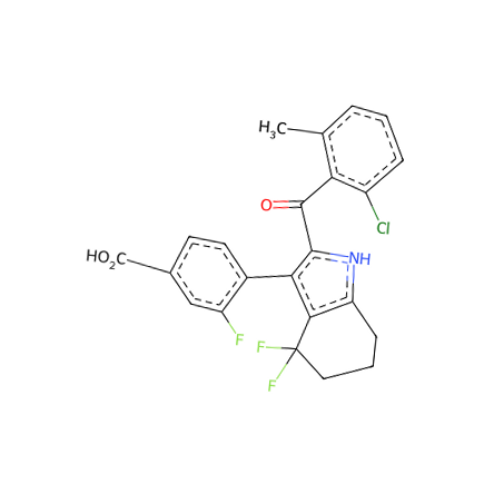 Cc1cccc(Cl)c1C(=O)c1[nH]c2c(c1-c1ccc(C(=O)O)cc1F)C(F)(F)CCC2